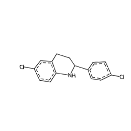 Clc1ccc(C2CCc3cc(Cl)ccc3N2)cc1